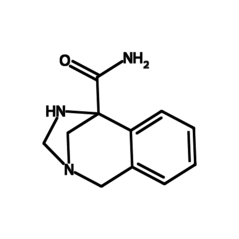 NC(=O)C12CN(CN1)Cc1ccccc12